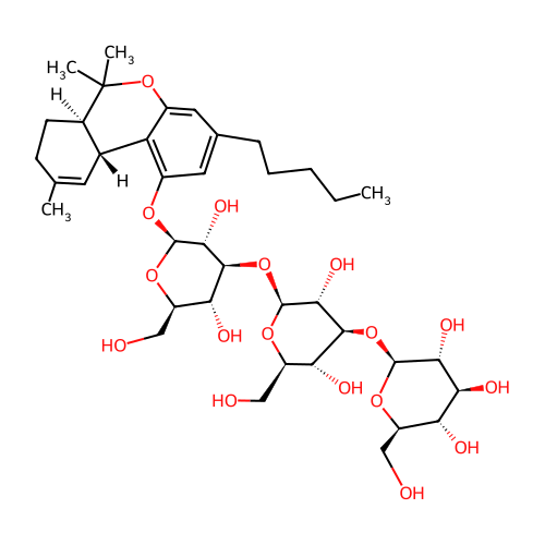 CCCCCc1cc(O[C@@H]2O[C@H](CO)[C@@H](O)[C@H](O[C@@H]3O[C@H](CO)[C@@H](O)[C@H](O[C@@H]4O[C@H](CO)[C@@H](O)[C@H](O)[C@H]4O)[C@H]3O)[C@H]2O)c2c(c1)OC(C)(C)[C@@H]1CCC(C)=C[C@@H]21